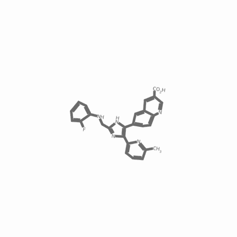 Cc1cccc(-c2nc(CNc3ccccc3F)[nH]c2-c2ccc3ncc(C(=O)O)cc3c2)n1